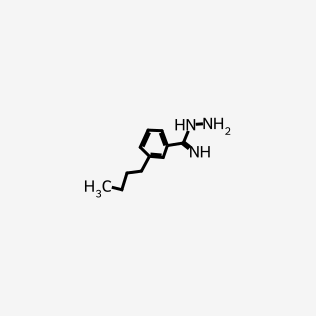 CCCCc1cccc(C(=N)NN)c1